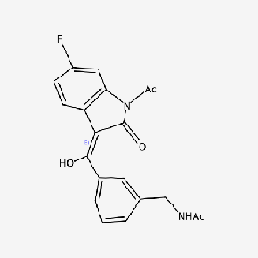 CC(=O)NCc1cccc(/C(O)=C2\C(=O)N(C(C)=O)c3cc(F)ccc32)c1